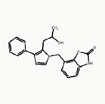 CC(O)Cc1c(-c2ccccc2)ncn1Cc1cccc2[nH]c(=O)oc12